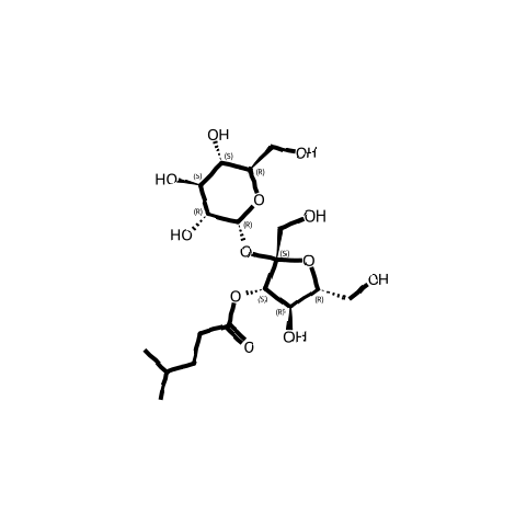 CC(C)CCC(=O)O[C@H]1[C@H](O)[C@@H](CO)O[C@@]1(CO)O[C@H]1O[C@H](CO)[C@@H](O)[C@H](O)[C@H]1O